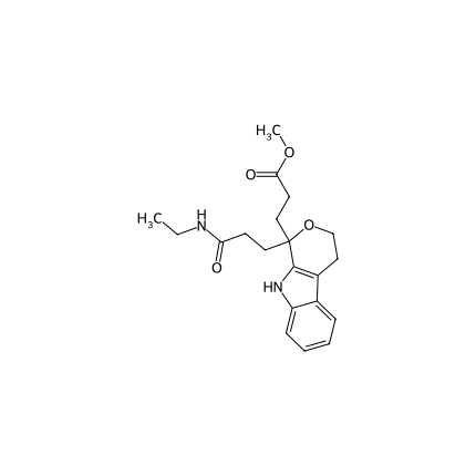 CCNC(=O)CCC1(CCC(=O)OC)OCCc2c1[nH]c1ccccc21